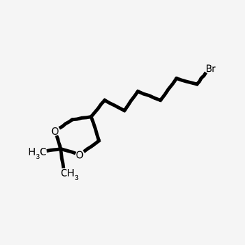 CC1(C)OCC(CCCCCCBr)CO1